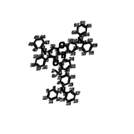 CC1(C)c2cc(N(c3ccccc3)c3ccccc3)ccc2-c2ccc3c(c21)Oc1c2c(cc4c1c1ccccc1n4-c1ccccc1)Oc1cc4c(cc1B32)c1ccccc1n4-c1ccccc1